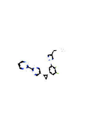 COCc1cnn(-c2cc([C@@H]3C[C@H]3c3cnc(-c4ncccn4)nc3)cc(F)c2F)c1